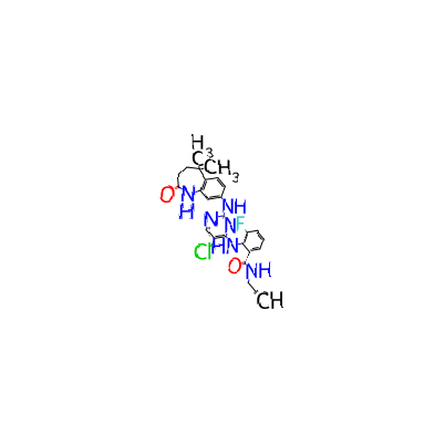 C#CCNC(=O)c1cccc(F)c1Nc1nc(Nc2ccc3c(c2)NC(=O)CCC3(C)C)ncc1Cl